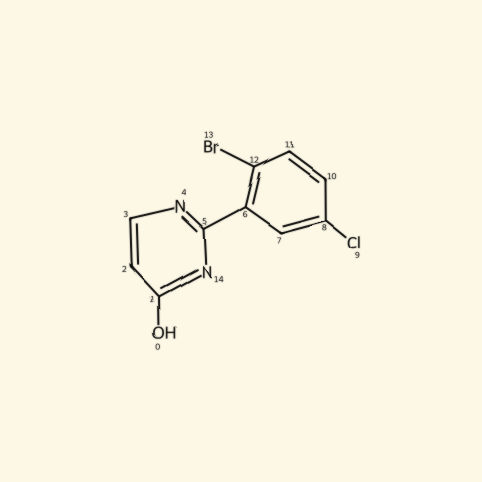 Oc1ccnc(-c2cc(Cl)ccc2Br)n1